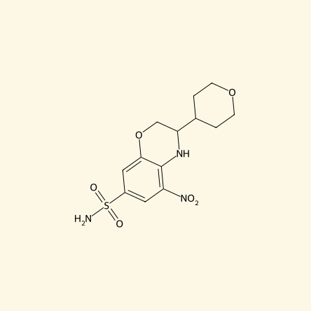 NS(=O)(=O)c1cc2c(c([N+](=O)[O-])c1)NC(C1CCOCC1)CO2